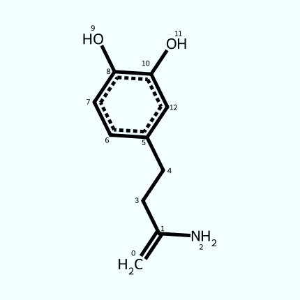 C=C(N)CCc1ccc(O)c(O)c1